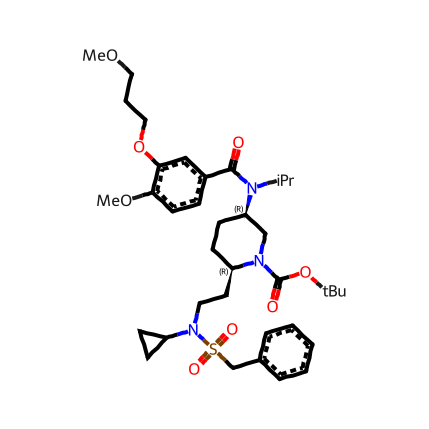 COCCCOc1cc(C(=O)N(C(C)C)[C@@H]2CC[C@H](CCN(C3CC3)S(=O)(=O)Cc3ccccc3)N(C(=O)OC(C)(C)C)C2)ccc1OC